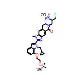 Cn1c(-c2cc3cccc(OCCO[Si](C)(C)C(C)(C)C)c3n2CC2CC2)nc2cc3c(cc21)CCN(CC(CF)NC(=O)O)C3=O